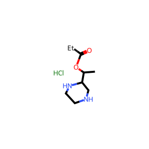 CCC(=O)OC(C)C1CNCCN1.Cl